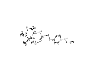 O=C(CCc1ccc(OCO)cc1)CC1OC[C@@H](O)[C@H](O)[C@H]1O